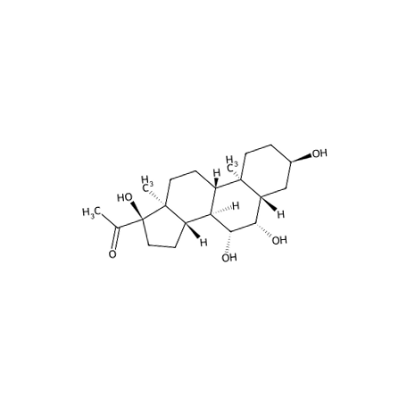 CC(=O)[C@@]1(O)CC[C@H]2[C@@H]3[C@@H](O)[C@@H](O)[C@H]4C[C@H](O)CC[C@]4(C)[C@H]3CC[C@@]21C